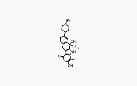 CC(C)N1CCN(c2ccc3c(c2)C(C)(C)c2[nH]c4c(c2C3)C(=O)CC(C#N)=C4F)CC1